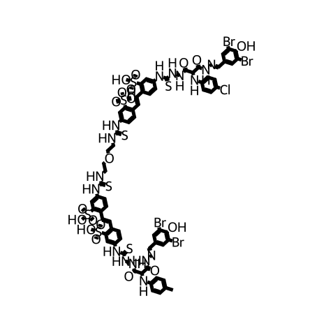 Cc1ccc(NC(C(=O)N/N=C/c2cc(Br)c(O)c(Br)c2)C(=O)NNC(=S)Nc2ccc(/C=C/c3ccc(NC(=S)NCCOCCNC(=S)Nc4ccc(/C=C/c5ccc(NC(=S)NNC(=O)C(Nc6ccc(Cl)cc6)C(=O)N/N=C/c6cc(Br)c(O)c(Br)c6)cc5S(=O)(=O)O)c(S(=O)(=O)O)c4)cc3S(=O)(=O)O)c(S(=O)(=O)O)c2)cc1